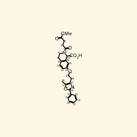 COC(=O)CCC(=O)N1CCc2ccc(OCCc3nc(-c4ccccc4)oc3C)cc2C1C(=O)O